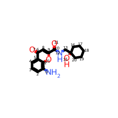 Nc1cccc2c(=O)cc(C(=O)NCC3(O)CCCCC3)oc12